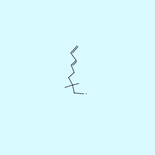 [CH2]CC(C)(C)CCC=CC=C